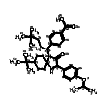 CC(C)Oc1ccc(C2NC3(CCC(C(C)(C)C)CC3)N([C@H](CCC(C)(C)C)c3ccc(C(=O)O)cc3)C2=O)cc1